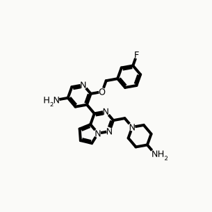 Nc1cnc(OCc2cccc(F)c2)c(-c2nc(CN3CCC(N)CC3)nn3cccc23)c1